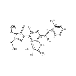 CCn1c(CO)cn(-c2nc(O[C@@H](C)C(F)(F)F)c(/C(F)=C/c3ncccc3Cl)cc2F)c1=O